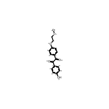 CCOCCOc1ccc(C(=O)C(=O)c2ccc(O)cc2)cc1